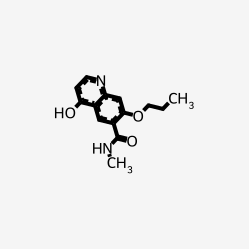 CCCOc1cc2nccc(O)c2cc1C(=O)NC